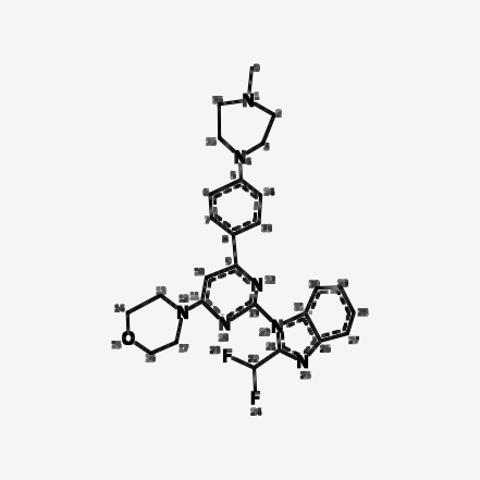 CN1CCN(c2ccc(-c3cc(N4CCOCC4)nc(-n4c(C(F)F)nc5ccccc54)n3)cc2)CC1